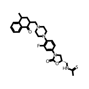 CC(=S)NC[C@H]1CN(c2ccc(N3CCN(CC4CC(C)c5ccccc5C4=O)CC3)c(F)c2)C(=O)O1